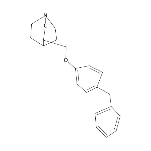 c1ccc(Cc2ccc(OCC3CN4CCC3CC4)cc2)cc1